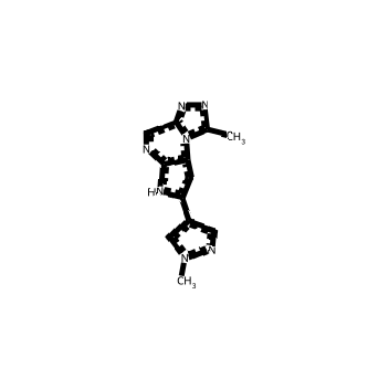 Cc1nnc2cnc3[nH]c(-c4cnn(C)c4)cc3n12